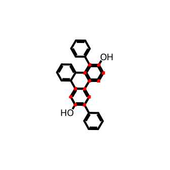 Oc1ccc(-c2ccccc2-c2ccccc2-c2ccccc2-c2ccc(O)c(-c3ccccc3)c2)cc1-c1ccccc1